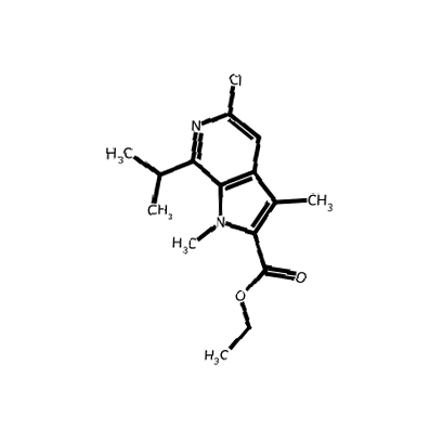 CCOC(=O)c1c(C)c2cc(Cl)nc(C(C)C)c2n1C